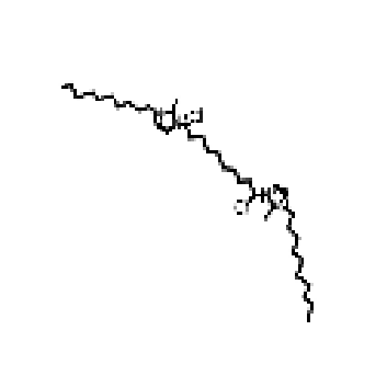 CCCCCCCCCCn1cc[n+](C(Cl)CCCCCCCCC(Cl)[n+]2ccn(CCCCCCCCCC)c2C)c1C